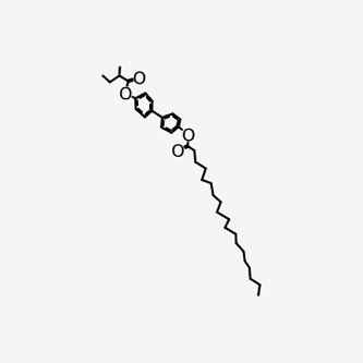 CCCCCCCCCCCCCCCCCCC(=O)Oc1ccc(-c2ccc(OC(=O)C(C)CC)cc2)cc1